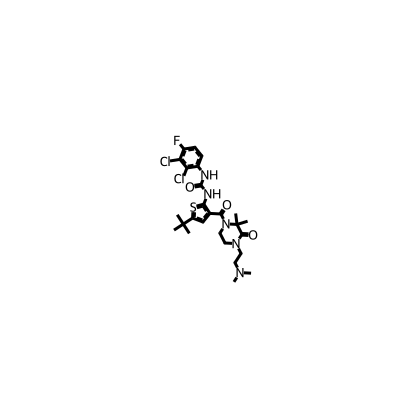 CN(C)CCN1CCN(C(=O)c2cc(C(C)(C)C)sc2NC(=O)Nc2ccc(F)c(Cl)c2Cl)C(C)(C)C1=O